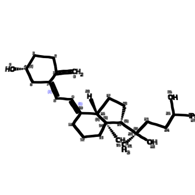 C=C1CC[C@@H](O)C/C1=C/C=C1\CCC[C@@]2(C)[C@H]1CC[C@@H]2[C@](C)(O)CCC(O)C(C)C